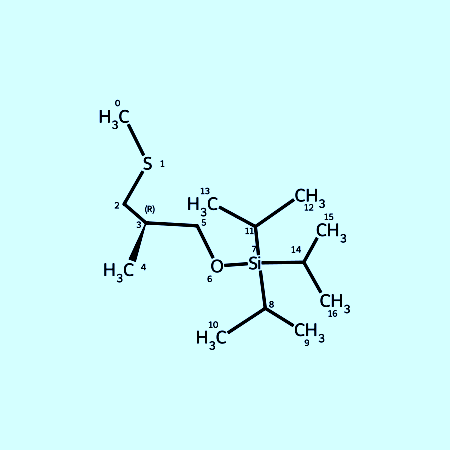 CSC[C@H](C)CO[Si](C(C)C)(C(C)C)C(C)C